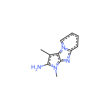 Cc1c(N)n(C)c2nc3ccccn3c12